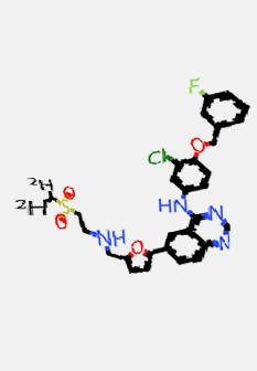 [2H]C([2H])S(=O)(=O)CCNCc1ccc(-c2ccc3ncnc(Nc4ccc(OCc5cccc(F)c5)c(Cl)c4)c3c2)o1